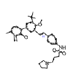 COc1c(/C=C/c2ccc(NS(=O)(=O)CCCN3CCCC3)cc2)cc(-c2ccc(C)[nH]c2=O)cc1C(C)(C)C